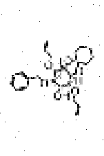 C=CCO[C@H]1[C@H]2OC3(CCCCC3)O[C@H]2[C@H](OCC=C)[C@@H](O)[C@@H]1OCc1ccccc1